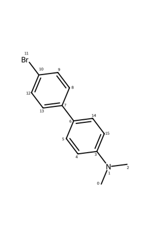 CN(C)c1ccc(-c2ccc(Br)cc2)cc1